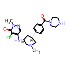 CN1C[C@H](Nc2cnn(C)c(=O)c2Cl)C[C@H](c2ccc(C(=O)N3CCNCC3)cc2)C1